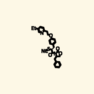 CCc1ccc(CCOc2ccc(C[C@@H](SC#N)C(=O)N3C(=O)OCC3Cc3ccccc3)cc2)nc1